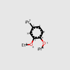 [CH2]C(C)c1ccc(OC(C)C)c(OCC)c1